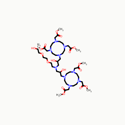 COC(=O)CN1CCN(CC(=O)OC)CCN(CC(O)CN(CCOCCOCCO)CC(O)CN2CCN(CC(=O)OC)CCN(CC(=O)OC)CCN(CC(=O)OC)CC2)CCN(CC(=O)OC)CC1